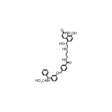 O=C(O)NC(c1ccccc1)c1cccc(OCc2ccc(C(=O)NCCCNC[C@H](O)c3ccc(O)c4[nH]c(=O)ccc34)cc2)c1